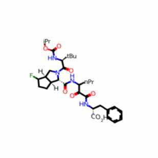 CCCC(NC(=O)[C@@H]1[C@H]2CCC(F)[C@H]2CN1C(=O)[C@@H](NC(=O)OC(C)C)C(C)(C)C)C(=O)C(=O)N[C@H](Cc1ccccc1)C(=O)O